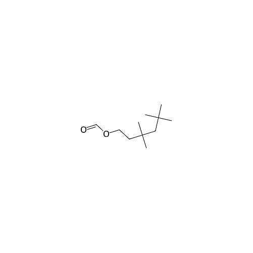 CC(C)(C)CC(C)(C)CCOC=O